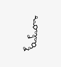 C1CC(COCC2CO2)CCC1COCC(COCC1CCC(COCC2CO2)CC1)OCC1CO1